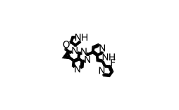 Fc1cccnc1-c1cc2c(-c3nc(N4CCOC5CNCC54)c4c(C5CC5)cncc4n3)ccnc2[nH]1